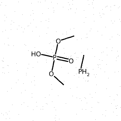 COP(=O)(O)OC.CP